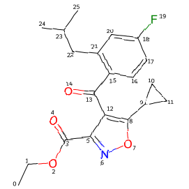 CCOC(=O)c1noc(C2CC2)c1C(=O)c1ccc(F)cc1CC(C)C